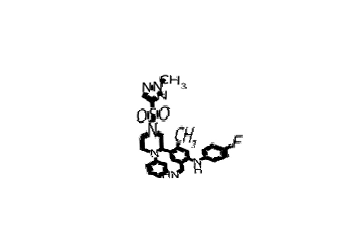 Cc1cc(Nc2ccc(F)cc2)c(C=N)cc1C1CN(S(=O)(=O)c2cnn(C)n2)CCN1c1ccccc1